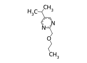 CCCOCc1ncc(C(C)C)cn1